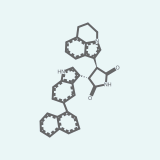 O=C1NC(=O)[C@H](c2cn3c4c(cccc24)CCC3)[C@H]1c1c[nH]c2ccc(-c3cccc4ccccc34)cc12